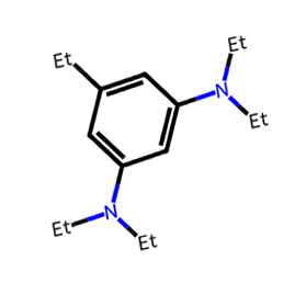 CCc1cc(N(CC)CC)cc(N(CC)CC)c1